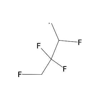 [CH2]C(F)C(F)(F)CF